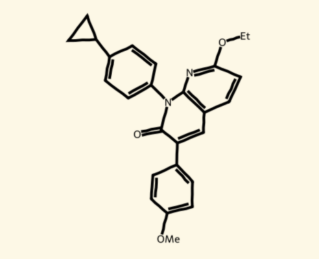 CCOc1ccc2cc(-c3ccc(OC)cc3)c(=O)n(-c3ccc(C4CC4)cc3)c2n1